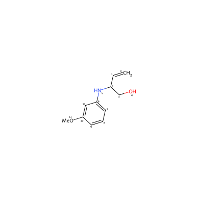 C=CC(CO)Nc1cccc(OC)c1